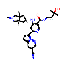 CN1C[C@H]2C[C@@H](Nc3cc(-c4ccc5cc(C#N)cnn45)ncc3C(=O)NC[C@@H](F)C(C)(C)O)C[C@H]2C1